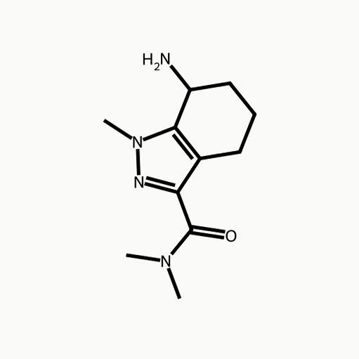 CN(C)C(=O)c1nn(C)c2c1CCCC2N